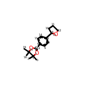 CC1(C)OB(c2ccc(C3CCCO3)cc2)OC1(C)C